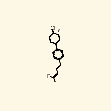 CC1CCC(c2ccc(CCC=C(F)F)cc2)CC1